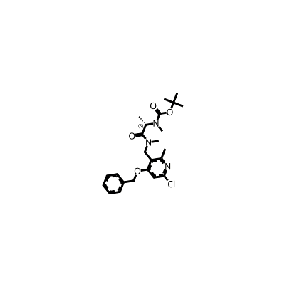 Cc1nc(Cl)cc(OCc2ccccc2)c1CN(C)C(=O)[C@H](C)N(C)C(=O)OC(C)(C)C